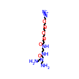 [N-]=[N+]=NCCOCCOCCOCCOCCC(=O)NCCCNC(=O)CN(CCN)CCN